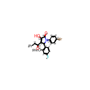 COc1cc(F)ccc1C1C(C(=O)CC(C)C)=C(O)C(=O)N1c1ccc(Br)cc1